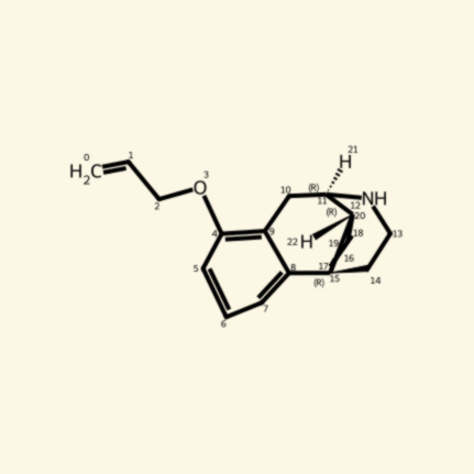 C=CCOc1cccc2c1C[C@H]1NCC[C@@]23CCCC[C@@H]13